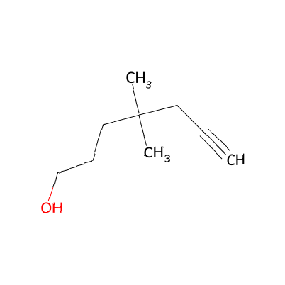 C#CCC(C)(C)CCCO